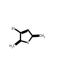 C=c1cc(CC)c(=C)s1